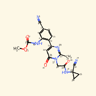 COC(=O)Nc1cc(C#N)ccc1-c1cc(=O)n(CC(=O)NC2(C#N)CC2)c(C)n1